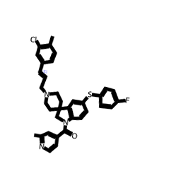 Cc1cc(C(=O)N2CC3(CCN(C/C=C/c4ccc(C)c(Cl)c4)CC3)c3cc(Sc4ccc(F)cc4)ccc32)ccn1